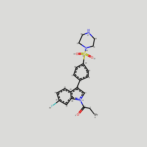 CC(C)CC(=O)n1cc(-c2ccc(S(=O)(=O)N3CCNCC3)cc2)c2ccc(F)cc21